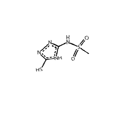 CS(=O)(=O)Nc1nnc(S)[nH]1